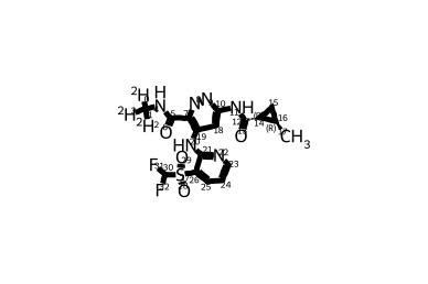 [2H]C([2H])([2H])NC(=O)c1nnc(NC(=O)[C@@H]2C[C@H]2C)cc1Nc1ncccc1S(=O)(=O)C(F)F